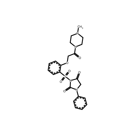 CN1CCN(C(=O)COc2ccccc2S(=O)(=O)N2C(=O)CN(c3ccccc3)C2=O)CC1